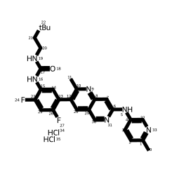 Cc1ccc(Nc2cc3nc(C)c(-c4cc(NC(=O)NCCC(C)(C)C)c(F)cc4F)cc3cn2)cn1.Cl.Cl